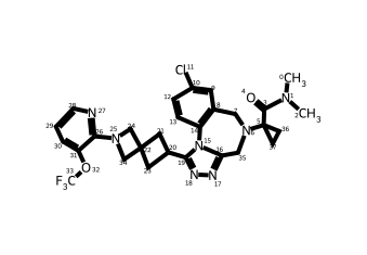 CN(C)C(=O)C1(N2Cc3cc(Cl)ccc3-n3c(nnc3C3CC4(C3)CN(c3ncccc3OC(F)(F)F)C4)C2)CC1